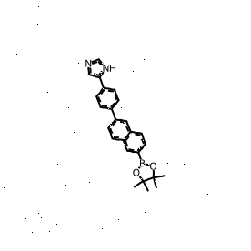 CC1(C)OB(c2ccc3cc(-c4ccc(-c5cnc[nH]5)cc4)ccc3c2)OC1(C)C